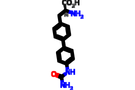 NC(=O)Nc1ccc(-c2ccc(C[C@H](N)C(=O)O)cc2)cc1